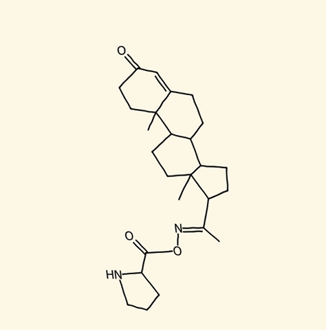 CC(=NOC(=O)C1CCCN1)C1CCC2C3CCC4=CC(=O)CCC4(C)C3CCC12C